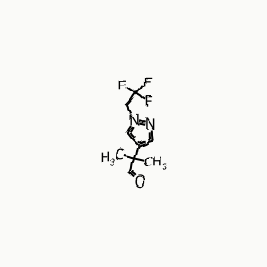 CC(C)(C=O)c1cnn(CC(F)(F)F)c1